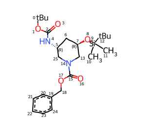 CC(C)(C)OC(=O)N[C@@H]1C[C@@H](O[Si](C)(C)C(C)(C)C)CN(C(=O)OCc2ccccc2)C1